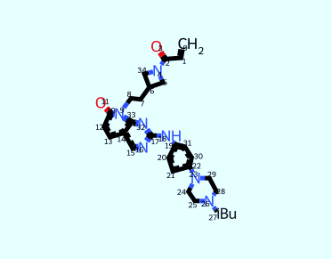 C=CC(=O)N1CC(CCn2c(=O)ccc3cnc(Nc4ccc(N5CCN(C(C)CC)CC5)cc4)nc32)C1